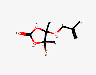 C=C(C)COC1(C)OC(=O)OC1(C)S